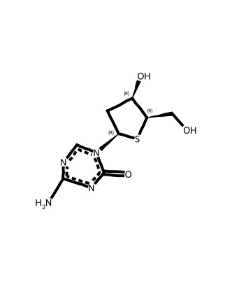 Nc1ncn([C@H]2C[C@@H](O)[C@@H](CO)S2)c(=O)n1